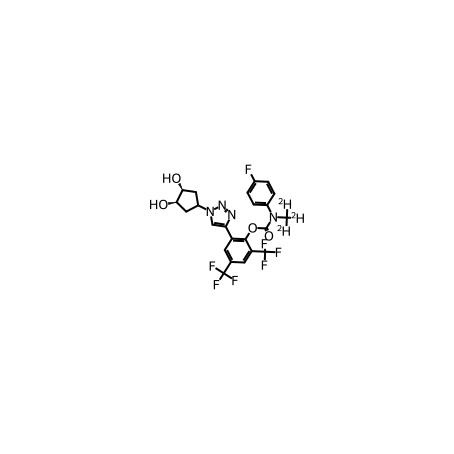 [2H]C([2H])([2H])N(C(=O)Oc1c(-c2cn(C3C[C@@H](O)[C@@H](O)C3)nn2)cc(C(F)(F)F)cc1C(F)(F)F)c1ccc(F)cc1